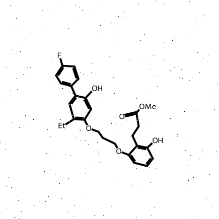 CCc1cc(-c2ccc(F)cc2)c(O)cc1OCCCOc1cccc(O)c1CCC(=O)OC